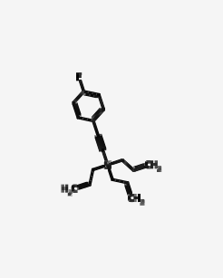 C=CC[Si](C#Cc1ccc(F)cc1)(CC=C)CC=C